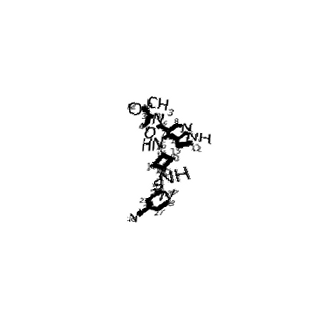 CC(=O)c1coc(-c2cnc3[nH]ccc3c2N[C@H]2C[C@H](NSc3cc(C#N)ccn3)C2)n1